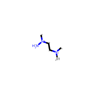 CCN(C)CCN(C)N